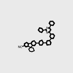 N#Cc1ccc2c(c1)C1(CCCCC1)c1cc(-c3ccc(-c4cccc(-c5cccc(-c6cc(-c7ccccc7)nc(-c7ccccc7)n6)c5)c4)cc3)ccc1-2